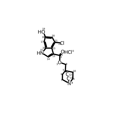 Cl.O=C(OCC12CCN(CC1)CC2)c1c[nH]c2cc(O)cc(Cl)c12